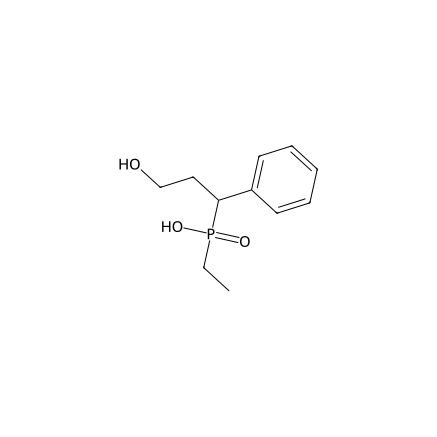 CCP(=O)(O)C(CCO)c1ccccc1